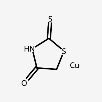 O=C1CSC(=S)N1.[Cu]